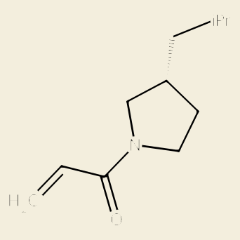 C=CC(=O)N1CC[C@@H](CC(C)C)C1